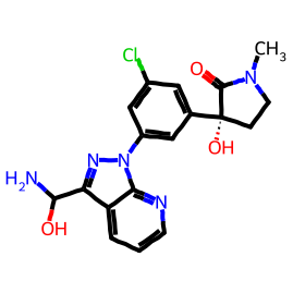 CN1CC[C@@](O)(c2cc(Cl)cc(-n3nc(C(N)O)c4cccnc43)c2)C1=O